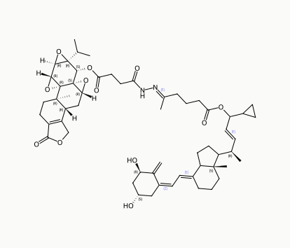 C=C1/C(=C\C=C2/CCC[C@]3(C)C2CCC3[C@H](C)/C=C/C(OC(=O)CCC/C(C)=N/NC(=O)CCC(=O)O[C@H]2[C@]3(C(C)C)O[C@@H]3[C@H]3O[C@@]34[C@@]23O[C@@H]3C[C@@H]2C3=C(CC[C@]24C)C(=O)OC3)C2CC2)C[C@H](O)C[C@H]1O